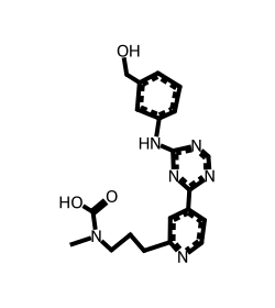 CN(CCCc1cc(-c2ncnc(Nc3cccc(CO)c3)n2)ccn1)C(=O)O